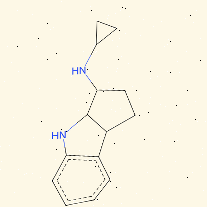 [c]1ccc2c(c1)C1CCC(NC3CC3)C1N2